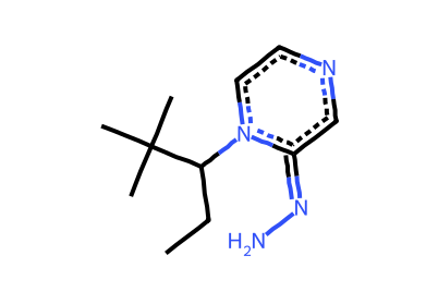 CCC(n1ccnc/c1=N/N)C(C)(C)C